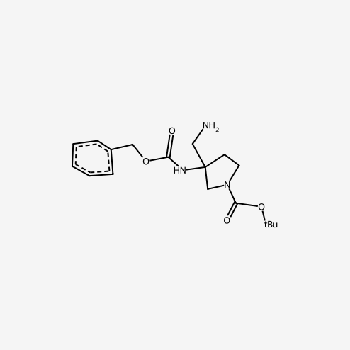 CC(C)(C)OC(=O)N1CCC(CN)(NC(=O)OCc2ccccc2)C1